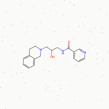 O=C(NCC(O)CN1CCc2ccccc2C1)c1cccnc1